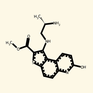 COC(=O)c1sc2ccc3nc(O)ccc3c2c1NC[C@H](C)N